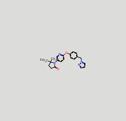 CCOC(=O)C1(C(=O)OCC)CCC(=O)N1c1ccc(Oc2ccc(Cn3cccn3)cc2)nc1